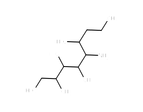 CCCC(C)C(N)C(C)C(C)C(C)CC